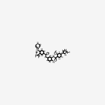 COc1cc(-c2cnn(C)c2)ccc1C(=O)Cc1cc(CC(=O)c2ccc(CN3CCCCC3)c(C(F)(F)F)c2)ccc1C